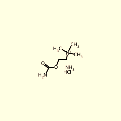 C[N+](C)(C)CCOC(N)=O.Cl.N